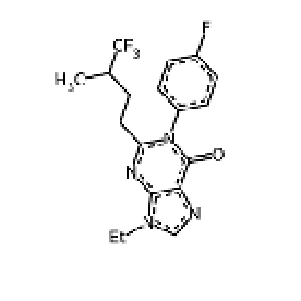 CCn1cnc2c(=O)n(-c3ccc(F)cc3)c(CCC(C)C(F)(F)F)nc21